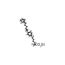 CCOC(=O)C(C)(C)CCCCOc1ccc(OCCCCCn2cncn2)cc1